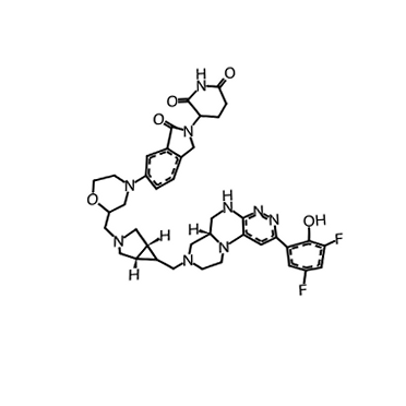 O=C1CCC(N2Cc3ccc(N4CCOC(CN5C[C@@H]6C(CN7CCN8c9cc(-c%10cc(F)cc(F)c%10O)nnc9NC[C@H]8C7)[C@@H]6C5)C4)cc3C2=O)C(=O)N1